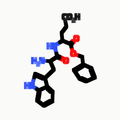 NC(Cc1c[nH]c2ccccc12)C(=O)NC(CCC(=O)O)C(=O)OCc1ccccc1